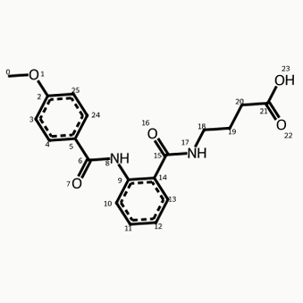 COc1ccc(C(=O)Nc2ccccc2C(=O)NCCCC(=O)O)cc1